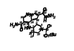 CC(C)(C)OC(=O)N1CCC(Nc2c(C(N)=O)cnn3cc(C(=O)NN)cc23)C(C)(C)C1